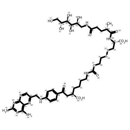 C[C@@H](CCC(=O)NC[C@H](O)[C@@H](O)[C@H](O)[C@H](O)CO)C(=O)N[C@@H](CSSCCOC(=O)NCCCC[C@H](CC(=O)c1ccc(NCc2cnc3nc(N)nc(N)c3n2)cc1)C(=O)O)C(=O)O